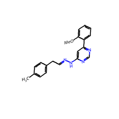 COc1ccccc1-c1cc(NN=CCc2ccc(C)cc2)ncn1